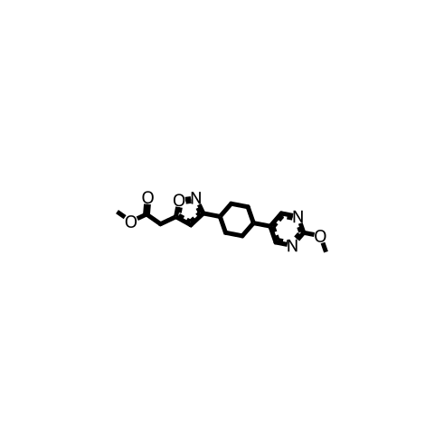 COC(=O)Cc1cc(C2CCC(c3cnc(OC)nc3)CC2)no1